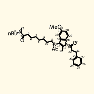 CCCCN(C)C(=O)CCCCCCCN(C(C)=O)c1c(C)n(C(=O)CCc2ccccc2)c2ccc(OC)cc12